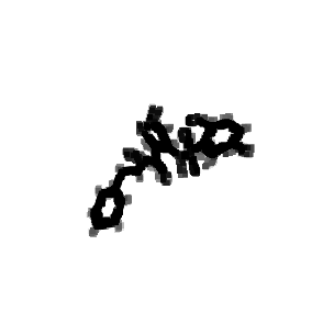 O=C(NCCc1ccccc1)c1n[nH]cc1NS(=O)(=O)c1cc(Cl)ccc1Cl